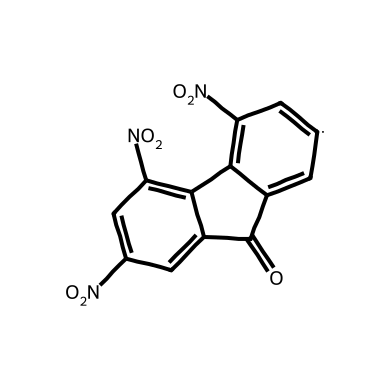 O=C1c2c[c]cc([N+](=O)[O-])c2-c2c1cc([N+](=O)[O-])cc2[N+](=O)[O-]